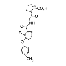 Cc1ccc(Oc2cccc(C(=O)NCC(=O)N3CCC[C@H]3C(=O)O)c2F)cc1